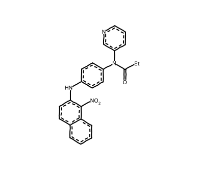 CCC(=O)N(c1ccc(Nc2ccc3ccccc3c2[N+](=O)[O-])cc1)c1cccnc1